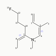 C=C/C(C)=C\N(C)/C(=C\C)CCCF